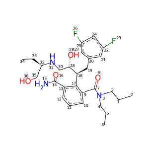 CCCN(CCC)C(=O)c1cccc(C(N)=O)c1[C@H](Cc1cc(F)cc(F)c1)[C@@H](O)CN[C@H](CC)CO